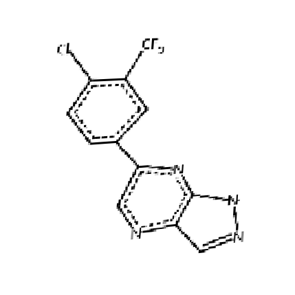 FC(F)(F)c1cc(-c2cnc3c(n2)[N]N=C3)ccc1Cl